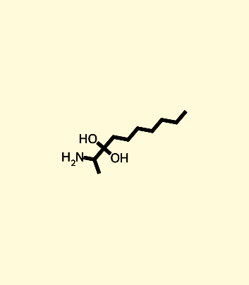 CCCCCCCC(O)(O)C(C)N